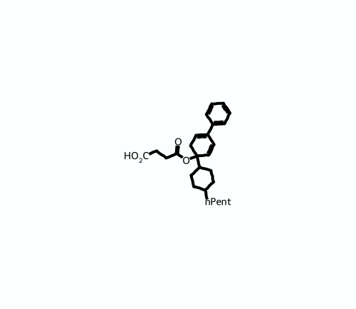 CCCCCC1CCC(C2(OC(=O)CCC(=O)O)C=CC(c3ccccc3)=CC2)CC1